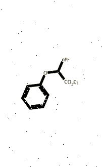 CCCC(Oc1ccccc1)C(=O)OCC